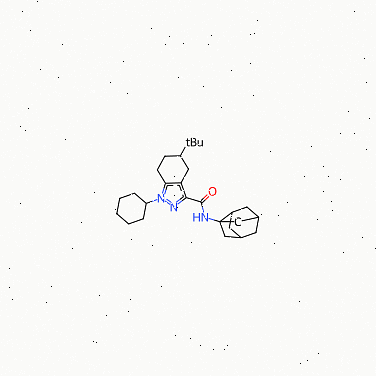 CC(C)(C)C1CCc2c(c(C(=O)NC34CC5CC(CC3C5)C4)nn2C2CCCCC2)C1